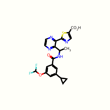 CC(NC(=O)c1cc(OC(F)F)cc(C2CC2)c1)c1nccnc1-c1ncc(C(=O)O)s1